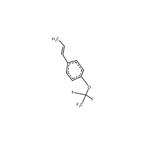 [CH2]/C=C/c1ccc(OC(F)(F)C(F)(F)F)cc1